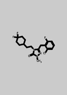 Cn1nc(Cc2c(F)cccc2Cl)n(CCC2CCC(F)(F)CC2)c1=O